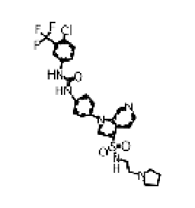 O=C(Nc1ccc(-n2cc(S(=O)(=O)NCCN3CCCC3)c3ccncc32)cc1)Nc1ccc(Cl)c(C(F)(F)F)c1